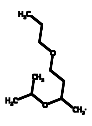 [CH2]C(CCOCCC)OC(C)C